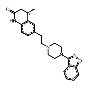 C[C@@H]1CC(=O)Nc2ccc(CCN3CCN(c4noc5ccccc45)CC3)cc21